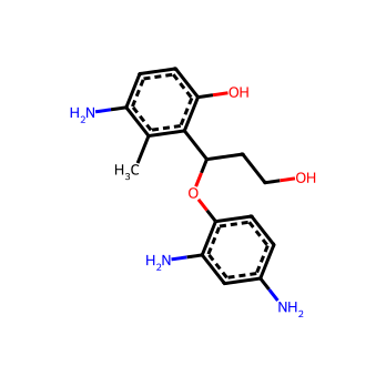 Cc1c(N)ccc(O)c1C(CCO)Oc1ccc(N)cc1N